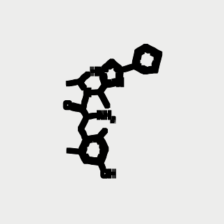 Cc1cc(O)cc(C)c1CC(N)C(=O)N(C(C)C)C(C)c1nc(-c2ccccc2)c[nH]1